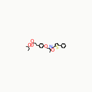 CCC(C)OOC(=O)CCc1ccc(OCc2nc(-c3ccc(-c4ccccc4)s3)oc2C)cc1